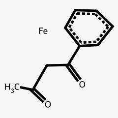 CC(=O)CC(=O)c1ccccc1.[Fe]